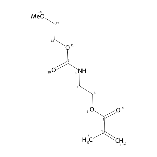 C=C(C)C(=O)OCCNC(=O)OCCOC